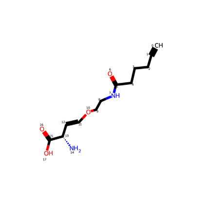 C#CCCCC(=O)NCCO/C=C/[C@H](N)C(=O)O